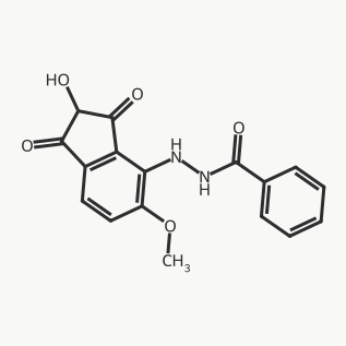 COc1ccc2c(c1NNC(=O)c1ccccc1)C(=O)C(O)C2=O